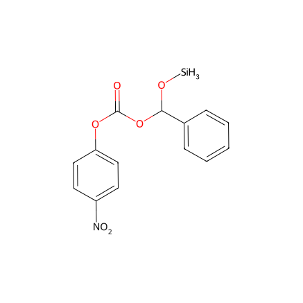 O=C(Oc1ccc([N+](=O)[O-])cc1)OC(O[SiH3])c1ccccc1